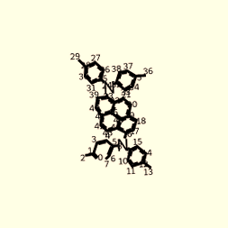 C=C(C)/C=C\C(=C/C)N(c1ccc(C)cc1)c1ccc2ccc3c(N(c4ccc(C)cc4)c4ccc(C)cc4)ccc4ccc1c2c43